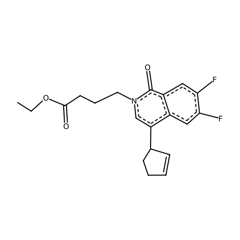 CCOC(=O)CCCn1cc(C2C=CCC2)c2cc(F)c(F)cc2c1=O